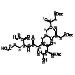 CCCCCCCCCCCC(=O)OC[C@@H](CN(C(=O)[C@H](CS)NC(C)=O)[C@@H](C)C(=O)N[C@H](CCC(=O)O)C(N)=O)OC(=O)CCCCCCCCCCC